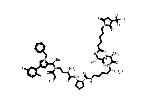 CCC(C)(CC)C1CC(=O)N(CCCCCC(=O)N[C@H](C(=O)N[C@@H](C)C(=O)N[C@@H](CCCCNC(=O)[C@@H]2CCC[C@@H]2NC(=O)[C@@H](N)CCN(C(=O)CO)[C@@H](c2cc(-c3cc(F)ccc3F)cn2Cc2ccccc2)C(C)(C)C)C(=O)O)C(C)C)C1=O